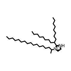 CCCCCCCCCCCCCCCC(C)[n+]1cc[nH]c1C(CCCCCCCC)CCCCCCCC